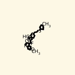 COc1ccc2ncc(Cl)c([C@@H](F)CCC3(C(=O)O)CCN(CCCSc4ccc(C)cc4)CC3)c2c1